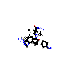 CN(CC(C)(C)C(N)=O)c1c(O[C@H]2CC[C@H](N)CC2)ccc2c1CC(C)(C)c1c(N)ncnc1-2